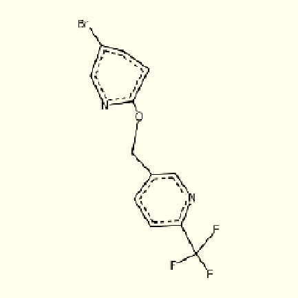 FC(F)(F)c1ccc(COc2ccc(Br)cn2)cn1